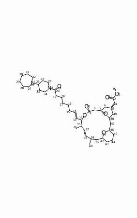 COC(=O)/C=C1\CC2CC(=O)OC(/C=C/CCCCCC(=O)N3CCC(N4CCCCCC4)CC3)C(C)/C=C/C(C)CC3CCCC(CC(C1)O2)O3